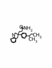 CCC(C)c1ccc(C2(CCC(N)=O)C=Nc3ccccc3C2)cc1